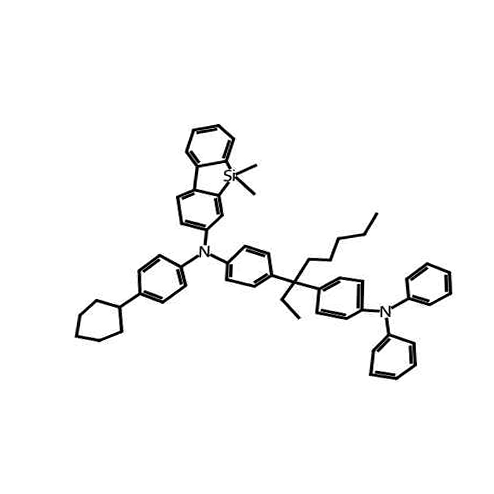 CCCCCC(CC)(c1ccc(N(c2ccccc2)c2ccccc2)cc1)c1ccc(N(c2ccc(C3CCCCC3)cc2)c2ccc3c(c2)[Si](C)(C)c2ccccc2-3)cc1